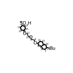 CCC(C)c1ccc2cc(OCCOCCOc3ccc(S(=O)(=O)O)cc3)ccc2c1